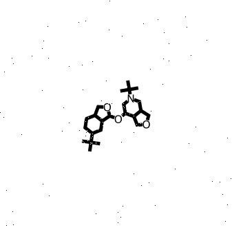 CC(C)(C)C1CCC2COC(OC3CN(C(C)(C)C)CC4COCC43)C2C1